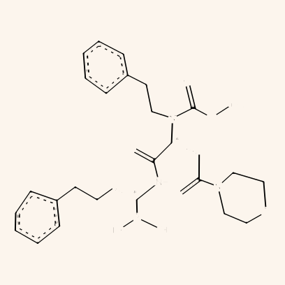 CC(C)(C)OC(=O)N(CCc1ccccc1)[C@H](CC(=O)N1CCOCC1)C(=O)N[C@@H](CCCc1ccccc1)B(O)O